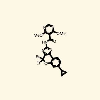 CCC1(CC)Oc2cc(C3CC3)ccc2-c2nc(NC(=O)c3c(OC)ncnc3OC)sc21